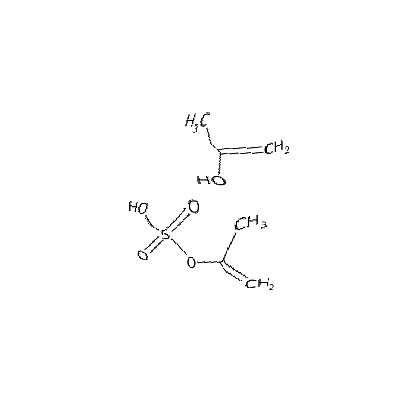 C=C(C)O.C=C(C)OS(=O)(=O)O